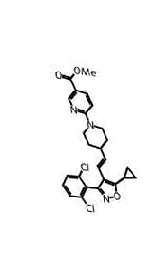 COC(=O)c1ccc(N2CCC(/C=C/c3c(-c4c(Cl)cccc4Cl)noc3C3CC3)CC2)nc1